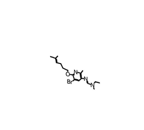 CCN(C)/C=N/c1cc(Br)c(OCCCC=C(C)C)nc1C